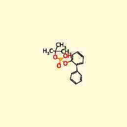 CC(C)(C)OP(=O)(O)Oc1ccccc1-c1ccccc1